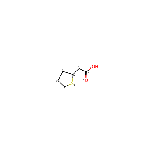 O=C(O)CC1CCCS1